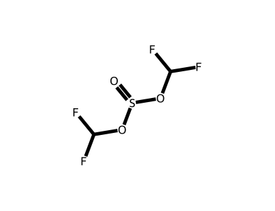 O=S(OC(F)F)OC(F)F